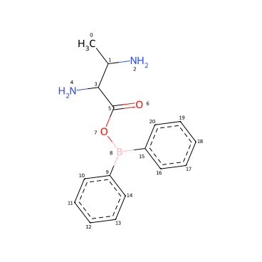 CC(N)C(N)C(=O)OB(c1ccccc1)c1ccccc1